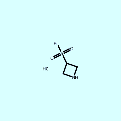 CCS(=O)(=O)C1CNC1.Cl